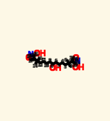 CC(C)(CCCCC(O)CCCCC(C)(C)c1conc1O)c1conc1O